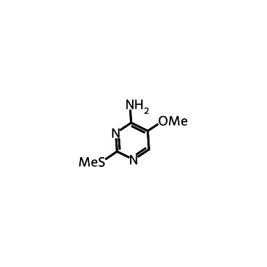 COc1cnc(SC)nc1N